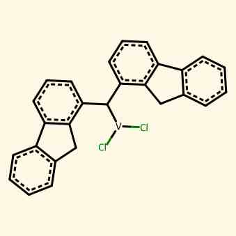 [Cl][V]([Cl])[CH](c1cccc2c1Cc1ccccc1-2)c1cccc2c1Cc1ccccc1-2